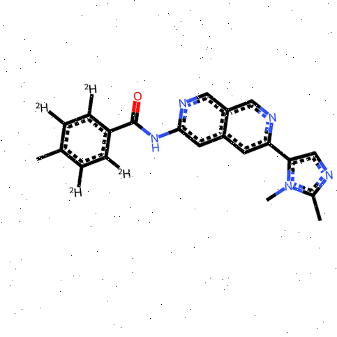 [2H]c1c([2H])c(C(=O)Nc2cc3cc(-c4cnc(C)n4C)ncc3cn2)c([2H])c([2H])c1C